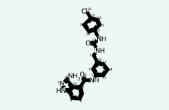 Nc1n[nH]c2cccc(C(=O)Nc3cccc(CNC(=O)Nc4ccc(Cl)cc4)c3)c12